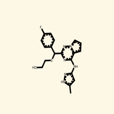 Cc1cc(Nc2nc(C(SCCO)c3ccc(F)cc3)nn3cccc23)n[nH]1